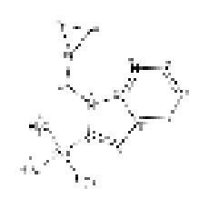 [CH3][Sn]([CH3])([CH3])[c]1cc2cccnc2n1CC1CC1